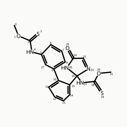 COC(=S)Nc1cccc(-c2ccccc2C2(NC(=S)OC)N=CC(=O)N2)c1